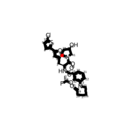 O=C([C@H](Cc1cc(-c2ccc(Cl)s2)on1)NS(=O)(=O)c1cccc(N2CCCCC2=O)c1OC(F)F)N1CC[C@@H](O)C1